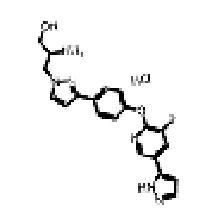 Cl.NC(CO)Cn1ccc(-c2ccc(Oc3ncc(-c4ccn[nH]4)cc3F)cc2)n1